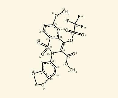 COC(=O)C1=C(OS(=O)(=O)C(F)(F)F)c2cc(OC)ccc2S(=O)(=O)N1c1ccc2c(c1)OCO2